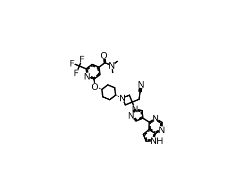 CN(C)C(=O)c1cc(O[C@H]2CC[C@@H](N3CC(CC#N)(n4cc(-c5ncnc6[nH]ccc56)cn4)C3)CC2)nc(C(F)(F)F)c1